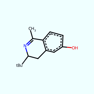 CC1=NC(C(C)(C)C)Cc2cc(O)ccc21